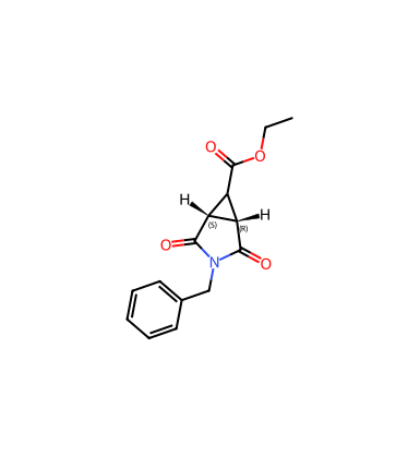 CCOC(=O)C1[C@H]2C(=O)N(Cc3ccccc3)C(=O)[C@@H]12